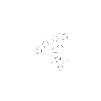 CC1c2cc3c(cc2N(c2cc4c(c5ccccc25)-c2cc5c(cc2C4(C)C)-c2ccccc2C5(C)C)c2cc4c(cc21)C(C)(C)c1ccccc1-4)-c1ccccc1C3(C)C